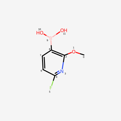 COc1nc(F)ccc1B(O)O